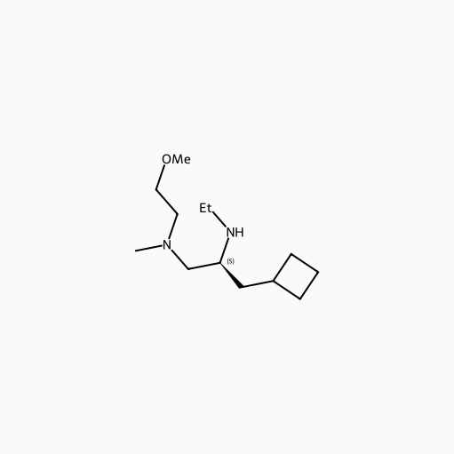 CCN[C@@H](CC1CCC1)CN(C)CCOC